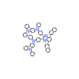 c1ccc(N(c2ccc(-c3nc4c(-c5ccc6ccccc6c5)ccc(-c5ccc6ccccc6c5)c4nc3-c3ccc(N(c4ccccc4)c4ccc5c(c4)c4ccccc4n5-c4ccccc4)cc3)cc2)c2ccc3c(c2)c2ccccc2n3-c2ccccc2)cc1